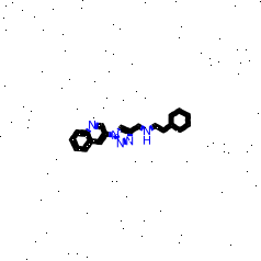 c1ccc2ncc(-n3cc(CNCCC4CCCCC4)nn3)cc2c1